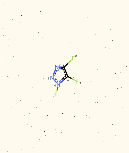 Fc1nnn(F)c1F